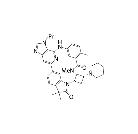 CNC(=O)c1cc(Nc2nc(-c3ccc4c(c3)N([C@H]3C[C@@H](N5CCCCC5)C3)C(=O)C4(C)C)cc3ncn(C(C)C)c23)ccc1C